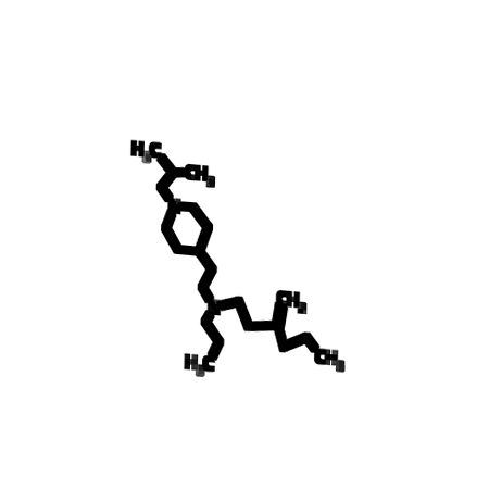 C=C(CCC)CCN(CCC)CCC1CCN(CC(C)C)CC1